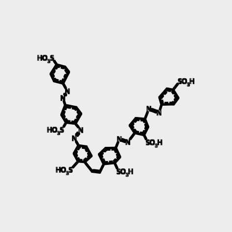 O=S(=O)(O)c1ccc(N=Nc2ccc(N=Nc3ccc(/C=C\c4ccc(N=Nc5ccc(N=Nc6ccc(S(=O)(=O)O)cc6)cc5S(=O)(=O)O)cc4S(=O)(=O)O)c(S(=O)(=O)O)c3)c(S(=O)(=O)O)c2)cc1